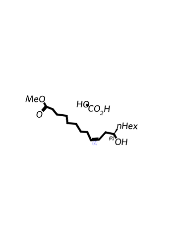 CCCCCC[C@@H](O)C/C=C\CCCCCCCC(=O)OC.O=C(O)O